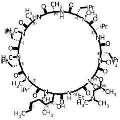 C/C=C/C[C@@H](C)[C@@H](O)C1C(=O)N[C@@H](CC)C(=O)N(C)[C@H](O[C@@H](C)CN(C)C)C(=O)N(C)[C@@H](CC(C)C)C(=O)N[C@@H](C(C)C)C(=O)N(C)[C@@H](CC(C)C)C(=O)N[C@@H](C)C(=O)N[C@H](C)C(=O)N(C)[C@@H](CC(C)C)C(=O)N(C)[C@@H](CC(C)C)C(=O)N(C)[C@@H](C(C)C)C(=O)N1C